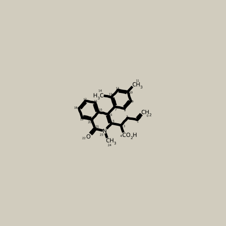 C=CCC(C(=O)O)c1c(-c2ccc(C)cc2C)c2ccccc2c(=O)n1C